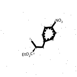 CCOC(=O)[C@@H](I)Cc1ccc([N+](=O)[O-])cc1